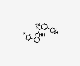 Fc1ccc(-c2cccc3[nH]c(-c4n[nH]c5ccc(-c6cn[nH]c6)cc45)cc23)s1